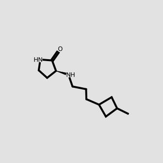 CC1CC(CCCN[C@H]2CCNC2=O)C1